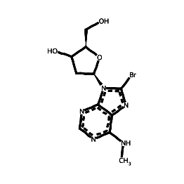 CNc1ncnc2c1nc(Br)n2[C@H]1CC(O)[C@@H](CO)O1